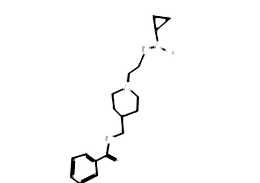 O=C(NCC1CCN(CCNN(O)C2CC2)CC1)c1ccccc1